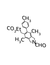 CCOC(=O)Cc1c(C)c2c(c(C)c1-c1ccc(C)cc1)CN(C=O)C2